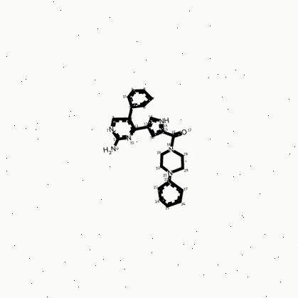 Nc1ncc(-c2ccccc2)c(-c2c[nH]c(C(=O)N3CCN(c4ccccc4)CC3)c2)n1